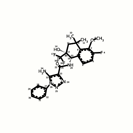 COc1c(F)ccc2c1C(C)(C)C[C@](O)(C(F)(F)F)[C@H]2NC(=O)c1nnn(-c2ccccc2)c1N